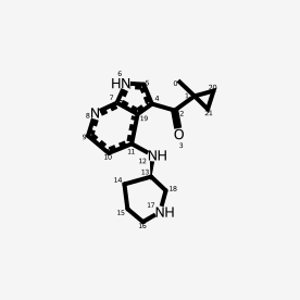 CC1(C(=O)c2c[nH]c3nccc(N[C@@H]4CCCNC4)c23)CC1